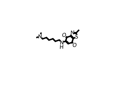 Cc1nc2c(s1)C(=O)C=C(NCCCCCCN(C)C)C2=O